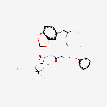 CC1(C)S[C@@H]2C(NC(=O)CSOc3ccccc3)C(=O)N2[C@H]1C(=O)O.CCCCCCCC[S+]([O-])C(C)Cc1ccc2c(c1)OCO2